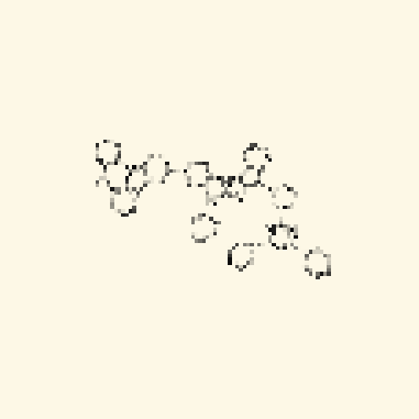 c1ccc(-c2cc(-c3ccccc3)nc(-c3cccc(-n4c5ccccc5c5c4nc4n(-c6ccccc6)c6cc(-c7ccc8c(c7)c7cccc9c7n8-c7ccccc7O9)ccc6n54)c3)n2)cc1